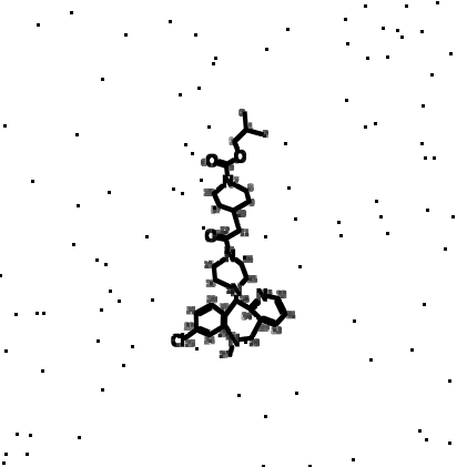 CC(C)COC(=O)N1CCC(CC(=O)N2CCN(C3c4ccc(Cl)cc4N(C)Cc4cccnc43)CC2)CC1